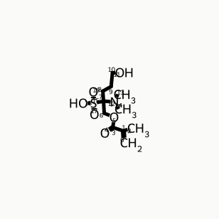 C=C(C)C(=O)OCC(CCCO)(N(C)C)S(=O)(=O)O